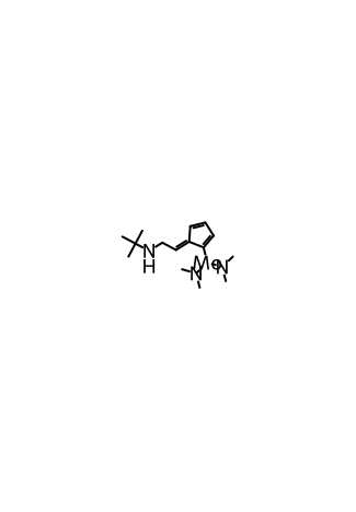 C[N](C)[Mo]([C]1=CC=CC1=CCNC(C)(C)C)[N](C)C